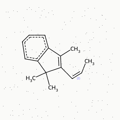 C/C=C\C1=C(C)c2ccccc2C1(C)C